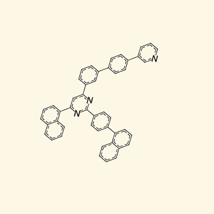 c1cncc(-c2ccc(-c3cccc(-c4cc(-c5cccc6ccccc56)nc(-c5ccc(-c6cccc7ccccc67)cc5)n4)c3)cc2)c1